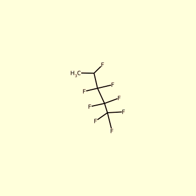 CC(F)C(F)(F)C(F)(F)C(F)(F)F